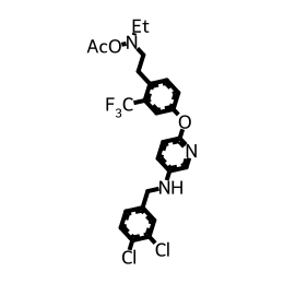 CCN(CCc1ccc(Oc2ccc(NCc3ccc(Cl)c(Cl)c3)cn2)cc1C(F)(F)F)OC(C)=O